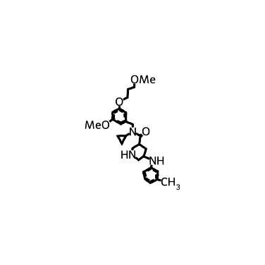 COCCCOc1cc(CN(C(=O)C2CNCC(Nc3cccc(C)c3)C2)C2CC2)cc(OC)c1